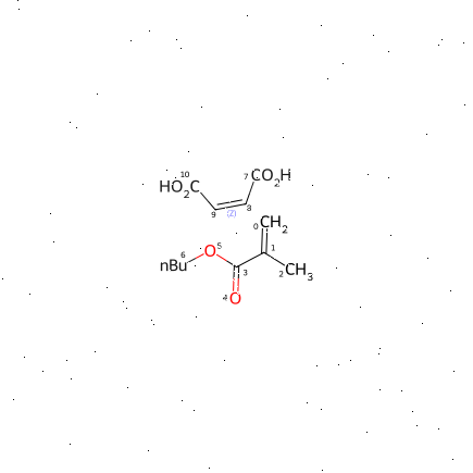 C=C(C)C(=O)OCCCC.O=C(O)/C=C\C(=O)O